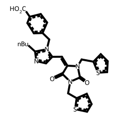 CCCCc1ncc(/C=C2\C(=O)N(Cc3cccs3)C(=O)N2Cc2cccs2)n1Cc1ccc(C(=O)O)cc1